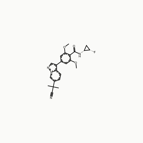 COc1cc(-c2cnn3cc(C(C)(C)C#N)ccc23)cc(OC)c1C(=O)N[C@@H]1C[C@@H]1F